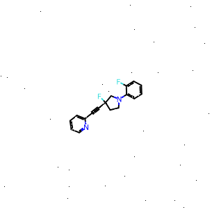 Fc1ccccc1N1CCC(F)(C#Cc2ccccn2)C1